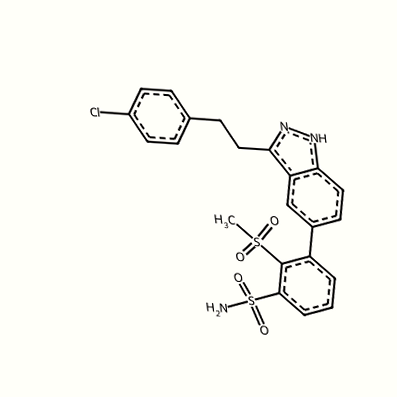 CS(=O)(=O)c1c(-c2ccc3[nH]nc(CCc4ccc(Cl)cc4)c3c2)cccc1S(N)(=O)=O